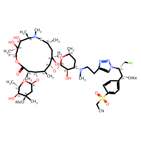 CO[C@H](c1ccc(S(=O)(=O)CC#N)cc1)[C@@H](CF)n1cc(CCN(C)[C@H]2C[C@@H](C)O[C@@H](O[C@@H]3[C@@H](C)[C@H](O[C@H]4C[C@@](C)(OC)[C@@H](O)[C@H](C)O4)[C@@H](C)C(=O)O[C@H](I)[C@@](C)(O)[C@H](O)[C@@H](C)N(C)C[C@H](C)C[C@@]3(C)O)[C@@H]2O)nn1